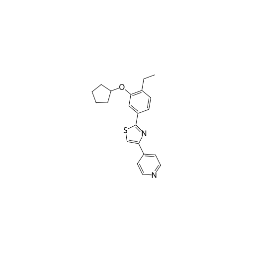 CCc1ccc(-c2nc(-c3ccncc3)cs2)cc1OC1CCCC1